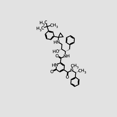 C[C@H](c1ccccc1)N(C)C(=O)c1cc(C(=O)N[C@@H](Cc2ccccc2)[C@H](O)CNC2(c3cccc(C(C)(C)C)c3)CC2)[nH]c(=O)c1